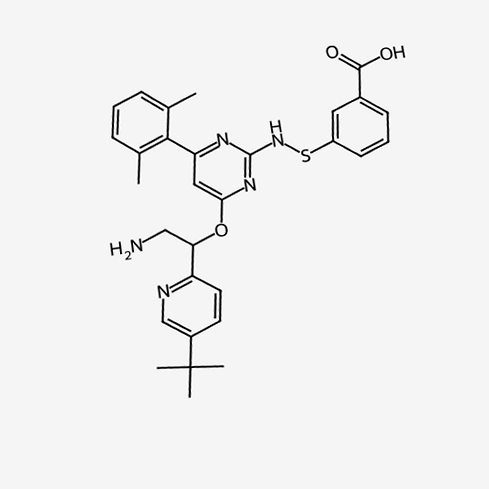 Cc1cccc(C)c1-c1cc(OC(CN)c2ccc(C(C)(C)C)cn2)nc(NSc2cccc(C(=O)O)c2)n1